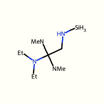 CCN(CC)C(CN[SiH3])(NC)NC